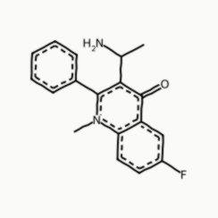 CC(N)c1c(-c2ccccc2)n(C)c2ccc(F)cc2c1=O